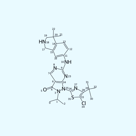 CC(C)n1c(=O)c2cnc(Nc3ccc4c(c3)CNCC4(C)C)nc2n1-c1nc(C(C)(C)C)c(Cl)s1